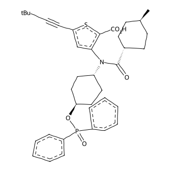 CC(C)(C)C#Cc1cc(N(C(=O)[C@H]2CC[C@H](C)CC2)[C@H]2CC[C@H](OP(=O)(c3ccccc3)c3ccccc3)CC2)c(C(=O)O)s1